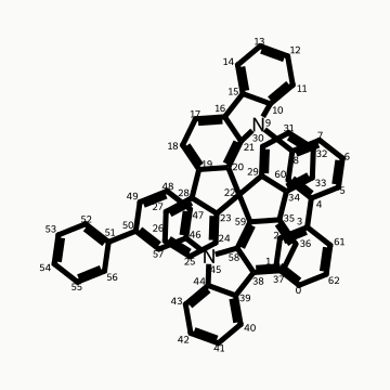 c1ccc(-c2cccc(-n3c4ccccc4c4ccc5c(c43)C3(c4ccccc4-5)c4ccccc4-c4ccc5c6ccccc6n(-c6cccc(-c7ccccc7)c6)c5c43)c2)cc1